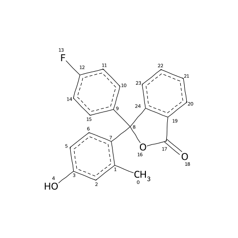 Cc1cc(O)ccc1C1(c2ccc(F)cc2)OC(=O)c2ccccc21